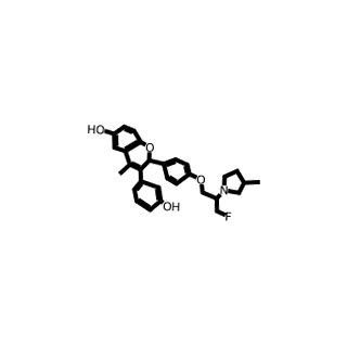 CC1=C(c2cccc(O)c2)C(c2ccc(OCC(CF)N3CCC(C)C3)cc2)Oc2ccc(O)cc21